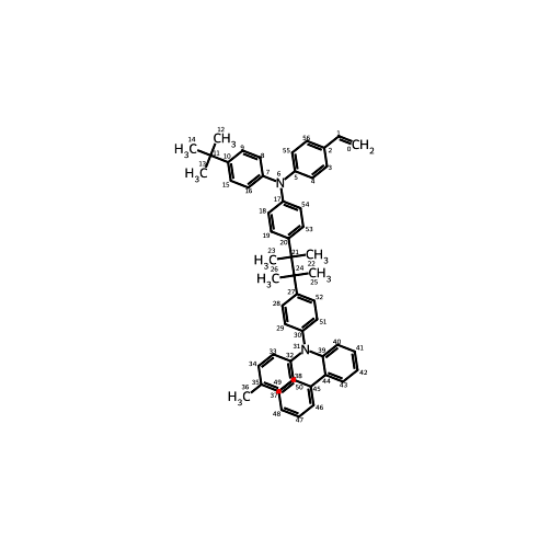 C=Cc1ccc(N(c2ccc(C(C)(C)C)cc2)c2ccc(C(C)(C)C(C)(C)c3ccc(N(c4ccc(C)cc4)c4ccccc4-c4ccccc4)cc3)cc2)cc1